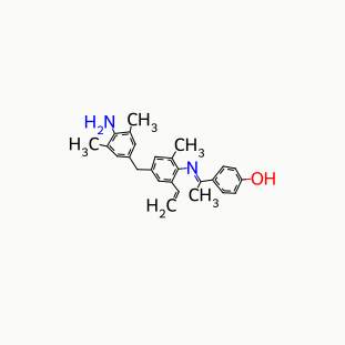 C=Cc1cc(Cc2cc(C)c(N)c(C)c2)cc(C)c1/N=C(\C)c1ccc(O)cc1